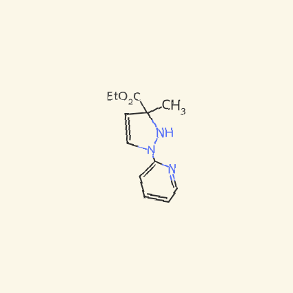 CCOC(=O)C1(C)C=CN(c2ccccn2)N1